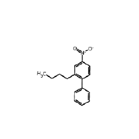 CCCCc1cc([N+](=O)[O-])ccc1-c1ccccc1